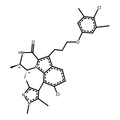 Cc1cc(OCCCc2c3n(c4c(-c5c(C)nn(C)c5C)c(Cl)ccc24)[C@H](C)[C@@H](C)NC3=O)cc(C)c1Cl